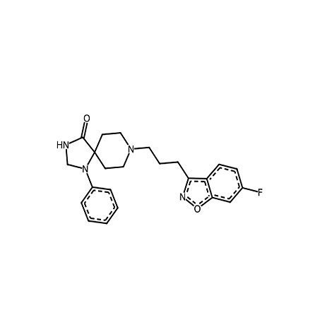 O=C1NCN(c2ccccc2)C12CCN(CCCc1noc3cc(F)ccc13)CC2